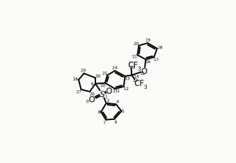 O=S(=O)(c1ccccc1)C1(c2ccc(C(Oc3ccccc3)(C(F)(F)F)C(F)(F)F)cc2)CCCCC1